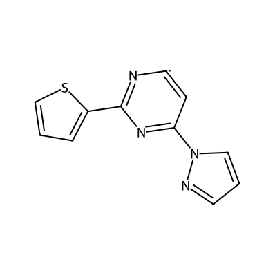 [c]1cc(-n2cccn2)nc(-c2cccs2)n1